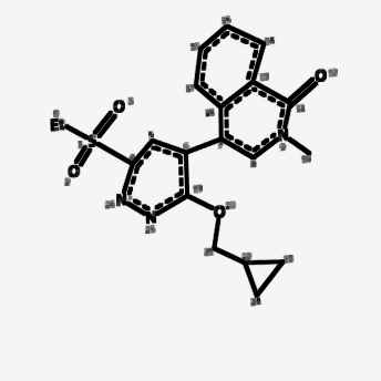 CCS(=O)(=O)c1cc(-c2cn(C)c(=O)c3ccccc23)c(OCC2CC2)nn1